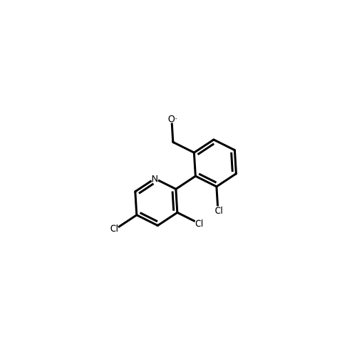 [O]Cc1cccc(Cl)c1-c1ncc(Cl)cc1Cl